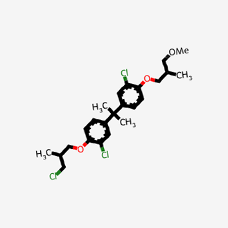 COCC(C)COc1ccc(C(C)(C)c2ccc(OCC(C)CCl)c(Cl)c2)cc1Cl